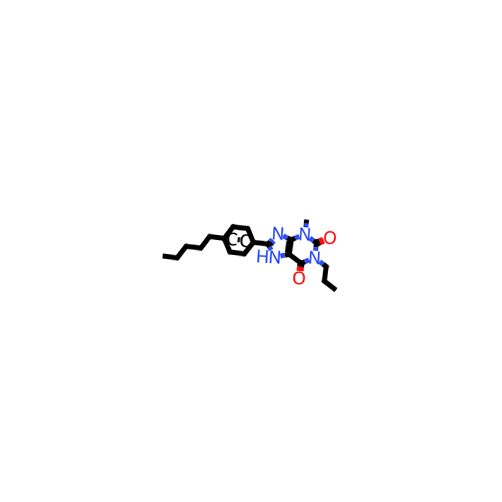 CCCCCC12CCC(c3nc4c([nH]3)c(=O)n(CCC)c(=O)n4C)(CC1)CC2